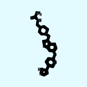 CC(=O)NCC1CCN(Cc2coc3cc(Oc4ccc(-c5ccn[nH]5)cn4)ccc23)CC1